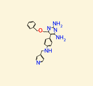 Nc1nc(N)c(-c2ccc(NCc3ccncc3)cc2)c(COCc2ccccc2)n1